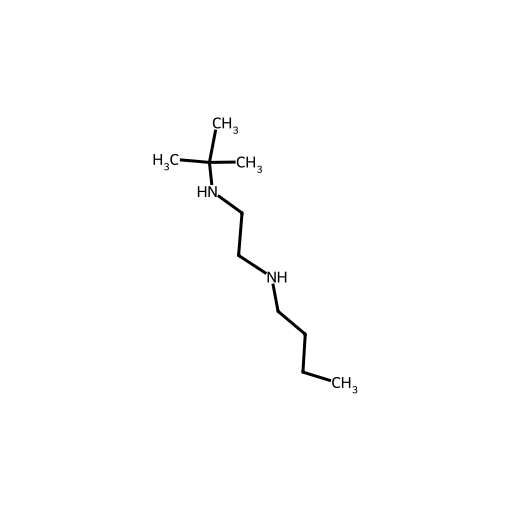 CCCCNCCNC(C)(C)C